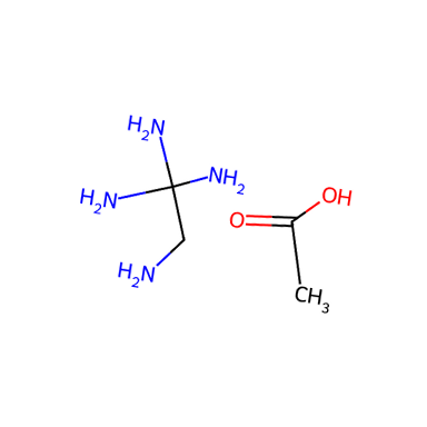 CC(=O)O.NCC(N)(N)N